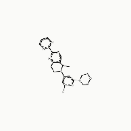 CC1c2cnc(-c3ncccn3)nc2CCN1c1cc(F)nc(N2CCOCC2)c1